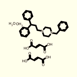 O.O.O=C(O)C=CC(=O)O.O=C(O)C=CC(=O)O.c1ccc(CN2CCN(CCC(c3ccccc3)c3ccccc3)CC2)cc1